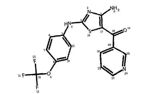 Nc1nc(Nc2ccc(OC(F)(F)F)cc2)sc1C(=O)c1cccnc1